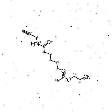 C#CCNC(=O)CCCCCOP(C)OCCC#N